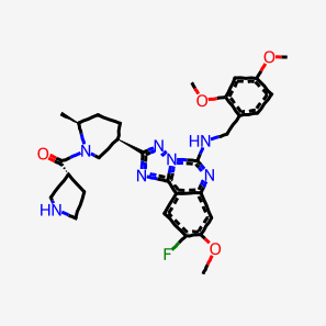 COc1ccc(CNc2nc3cc(OC)c(F)cc3c3nc([C@@H]4CC[C@H](C)N(C(=O)[C@@H]5CCNC5)C4)nn23)c(OC)c1